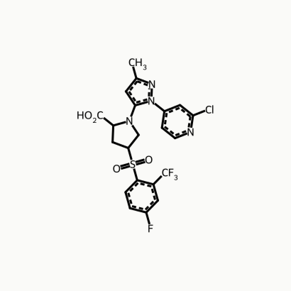 Cc1cc(N2CC(S(=O)(=O)c3ccc(F)cc3C(F)(F)F)CC2C(=O)O)n(-c2ccnc(Cl)c2)n1